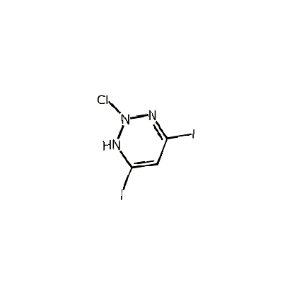 ClN1N=C(I)C=C(I)N1